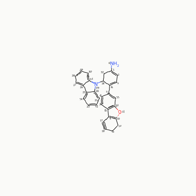 NC1=CC=C(c2ccc3c4c(oc3c2)CCC#C4)C(n2c3ccccc3c3ccccc32)C1